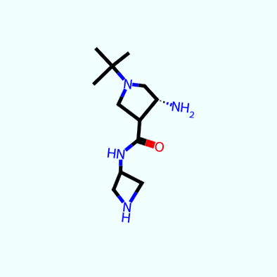 CC(C)(C)N1CC(C(=O)NC2CNC2)[C@@H](N)C1